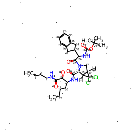 C=CCCNC(=O)C(=O)C(CCC=C)NC(=O)[C@@H]1[C@@H]2[C@H](CN1C(=O)C(NC(=O)OC(C)(C)C)C1Cc3ccccc3C1)C2(Cl)Cl